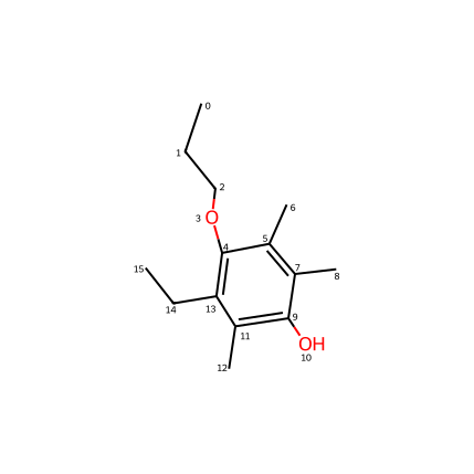 CCCOc1c(C)c(C)c(O)c(C)c1CC